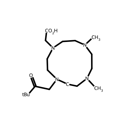 CN1CCN(C)CCN(CC(=O)C(C)(C)C)CCN(CC(=O)O)CC1